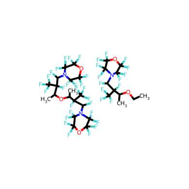 CC(OC(C)C(F)(C(F)N1C(F)(F)C(F)(F)OC(F)(F)C1(F)F)C(F)(F)F)C(F)(C(F)N1C(F)(F)C(F)(F)OC(F)(F)C1(F)F)C(F)(F)F.CCOC(C)C(F)(C(F)N1C(F)(F)C(F)(F)OC(F)(F)C1(F)F)C(F)(F)F